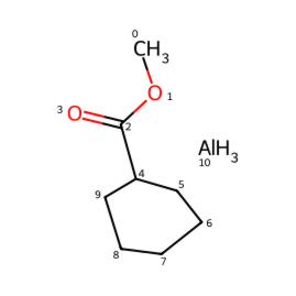 COC(=O)C1CCCCC1.[AlH3]